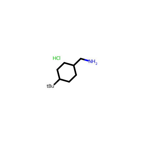 CC(C)(C)C1CCC(CN)CC1.Cl